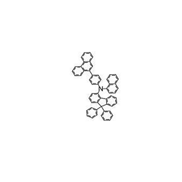 c1ccc(C2(c3ccccc3)c3ccccc3-c3c(N(c4ccc(-c5cc6ccccc6c6ccccc56)cc4)c4cccc5ccccc45)cccc32)cc1